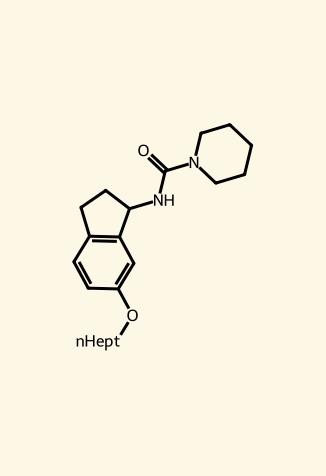 CCCCCCCOc1ccc2c(c1)C(NC(=O)N1CCCCC1)CC2